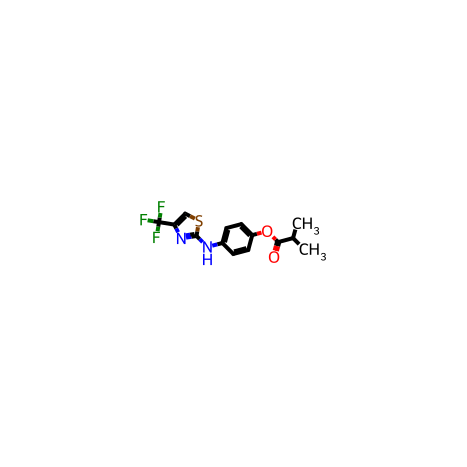 CC(C)C(=O)Oc1ccc(Nc2nc(C(F)(F)F)cs2)cc1